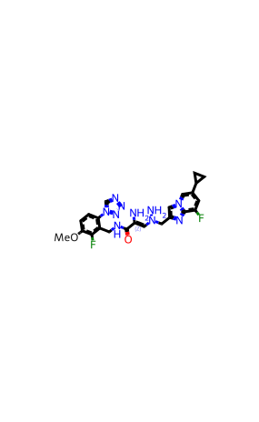 COc1ccc(-n2cnnn2)c(CNC(=O)/C(N)=C/N(N)Cc2cn3cc(C4CC4)cc(F)c3n2)c1F